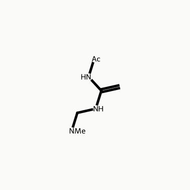 C=C(NCNC)NC(C)=O